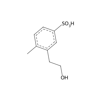 Cc1ccc(S(=O)(=O)O)cc1CCO